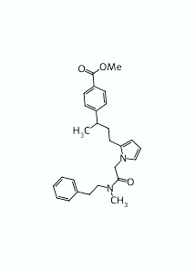 COC(=O)c1ccc(C(C)CCc2cccn2CC(=O)N(C)CCc2ccccc2)cc1